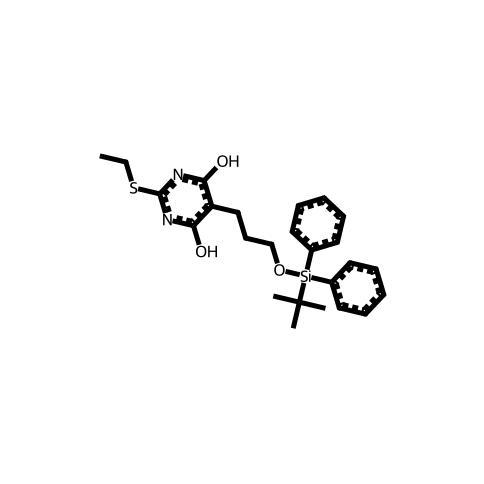 CCSc1nc(O)c(CCCO[Si](c2ccccc2)(c2ccccc2)C(C)(C)C)c(O)n1